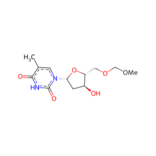 COCOC[C@H]1O[C@@H](n2cc(C)c(=O)[nH]c2=O)C[C@@H]1O